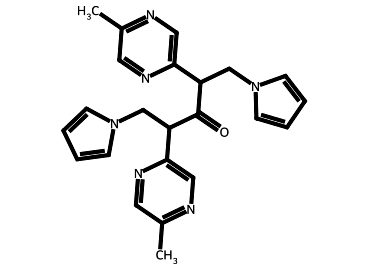 Cc1cnc(C(Cn2cccc2)C(=O)C(Cn2cccc2)c2cnc(C)cn2)cn1